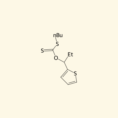 CCCCSC(=S)OC(CC)c1cccs1